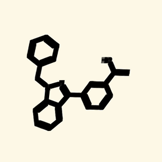 C=C(O)c1cccc(-c2nn(Cc3ccccc3)c3ccccc23)c1